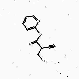 CCC(C#N)C(=O)Oc1ccccn1